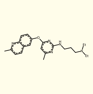 CCN(CC)CCCNc1nc(C)cc(Oc2ccc3nc(C)ccc3c2)n1